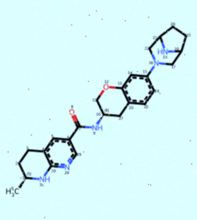 C[C@H]1CCc2cc(C(=O)N[C@H]3COc4cc(N5CC6CCC(C5)N6)ccc4C3)cnc2N1